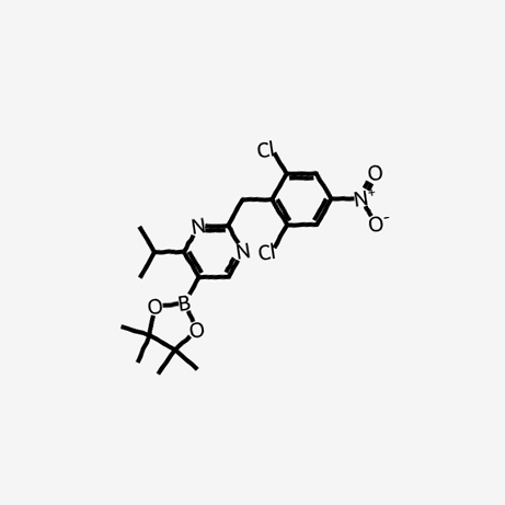 CC(C)c1nc(Cc2c(Cl)cc([N+](=O)[O-])cc2Cl)ncc1B1OC(C)(C)C(C)(C)O1